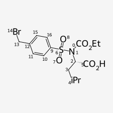 CCOC(=O)N([C@@H](CC(C)C)C(=O)O)S(=O)(=O)c1ccc(CBr)cc1